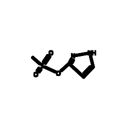 CS(=O)(=O)Oc1cc[nH]n1